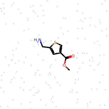 COC(=O)c1csc(CN)c1